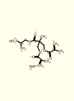 C=C(C)C(=O)OCC(C)(COC(=O)C(=C)C)C(=O)OCC(C)S(=O)(=O)O.[NaH]